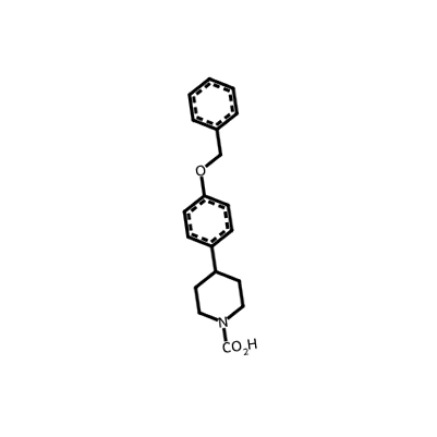 O=C(O)N1CCC(c2ccc(OCc3ccccc3)cc2)CC1